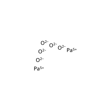 [O-2].[O-2].[O-2].[O-2].[O-2].[Pa+5].[Pa+5]